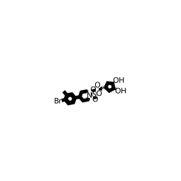 Cc1cc(C2CCN(S(=O)(=O)OC(=O)[C@@H]3C[C@@H](O)[C@@H](O)C3)CC2)ccc1Br